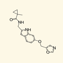 CC1(C(=O)NCc2cc3ccc(OCc4cnco4)cc3[nH]2)CC1